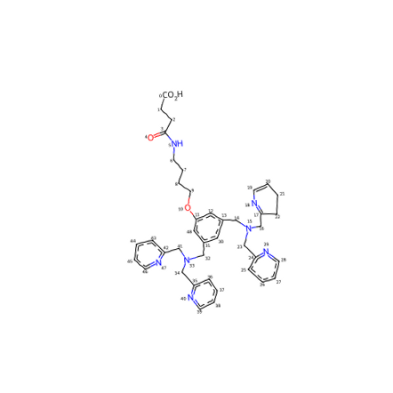 O=C(O)CCC(=O)NCCCCOc1cc(CN(CC2=NC=CCC2)Cc2ccccn2)cc(CN(Cc2ccccn2)Cc2ccccn2)c1